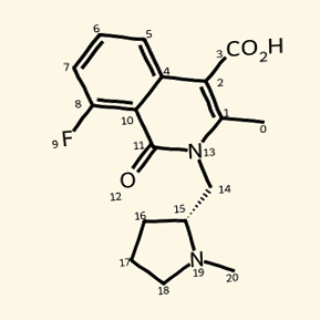 Cc1c(C(=O)O)c2cccc(F)c2c(=O)n1C[C@H]1CCCN1C